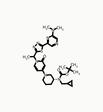 CC(c1nnc(-c2cncc(N(C)C)n2)s1)n1ccc(N2CCC[C@@H](N(CC3CC3)C(=O)OC(C)(C)C)C2)cc1=O